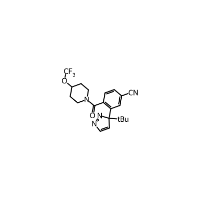 CC(C)(C)C1(c2cc(C#N)ccc2C(=O)N2CCC(OC(F)(F)F)CC2)C=CN=N1